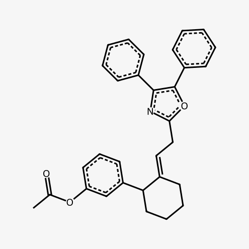 CC(=O)Oc1cccc(C2CCCCC2=CCc2nc(-c3ccccc3)c(-c3ccccc3)o2)c1